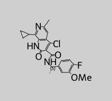 COc1cc([C@H](C)NC(=O)c2c(Cl)c3cc(C)nc(C4CC4)c3[nH]c2=O)ccc1F